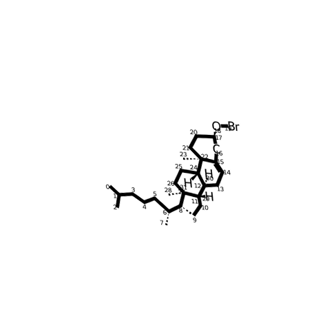 CC(C)CCC[C@@H](C)[C@H]1CC[C@H]2[C@@H]3CC=C4C[C@@H](OBr)CC[C@]4(C)[C@H]3CC[C@]12C